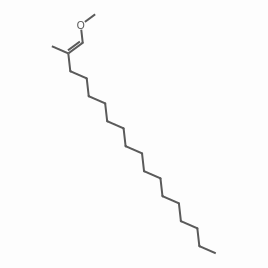 CCCCCCCCCCCCCCCCC(C)=COC